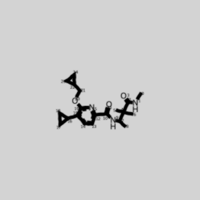 CNC(=O)C(C)(C)C(C)NC(=O)c1ccc(C2CC2)c(OCC2CC2)n1